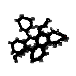 O=C=Nc1c(N=C=O)c(C(C2CCCCC2)C2CCCCC2)c2c(N=C=O)cccc2c1N=C=O